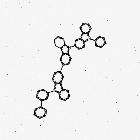 C1=Cc2c(c3cc(-c4ccc5c(c4)c4ccccc4n5-c4cccc(-c5ccccc5)c4)ccc3n2-c2ccc3c(c2)c2ccccc2n3-c2ccccc2)CC1